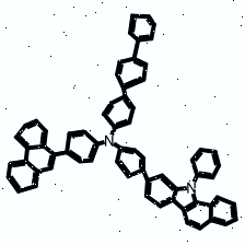 c1ccc(-c2ccc(-c3ccc(N(c4ccc(-c5ccc6c7ccc8ccccc8c7n(-c7ccccc7)c6c5)cc4)c4ccc(-c5cc6ccccc6c6ccccc56)cc4)cc3)cc2)cc1